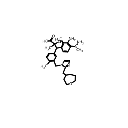 Cc1ccc(C(c2ccc(N(C)N)c(N)c2C)C(C)(C)C(=O)O)cc1Cn1ccnc1CC1CCCOCC1